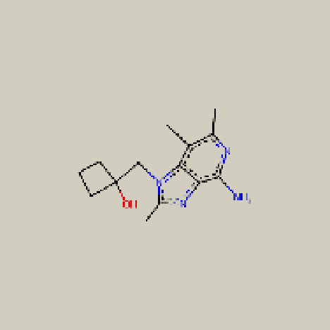 Cc1nc(N)c2nc(C)n(CC3(O)CCC3)c2c1C